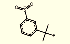 CC(C)(F)c1cccc([SH](=O)=O)c1